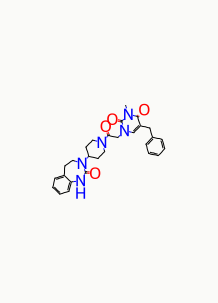 Cn1c(=O)c(Cc2ccccc2)cn(CC(=O)N2CCC(N3CCc4ccccc4NC3=O)CC2)c1=O